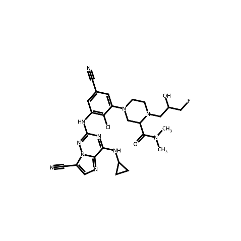 CN(C)C(=O)C1CN(c2cc(C#N)cc(Nc3nc(NC4CC4)c4ncc(C#N)n4n3)c2Cl)CCN1CC(O)CF